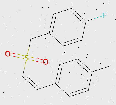 Cc1ccc(/C=C\S(=O)(=O)Cc2ccc(F)cc2)cc1